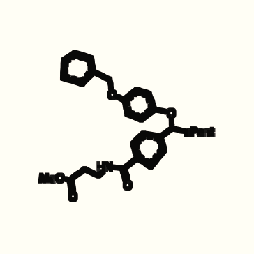 CCCCCC(Oc1ccc(OCc2ccccc2)cc1)c1ccc(C(=O)NCCC(=O)OC)cc1